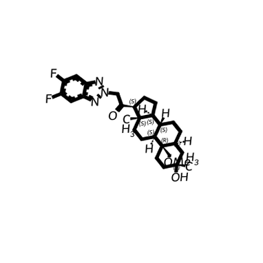 COC[C@]12CC[C@@](C)(O)C[C@@H]1CC[C@H]1[C@@H]3CC[C@H](C(=O)Cn4nc5cc(F)c(F)cc5n4)[C@@]3(C)CC[C@@H]12